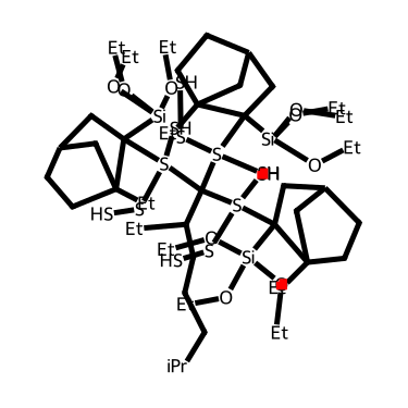 CCO[Si](OCC)(OCC)C1(S(S)(SS)C(C(CC)CCCC(C)C)(S(S)(SS)C2([Si](OCC)(OCC)OCC)CC3CCC2(CC)C3)S(S)(SS)C2([Si](OCC)(OCC)OCC)CC3CCC2(CC)C3)CC2CCC1(CC)C2